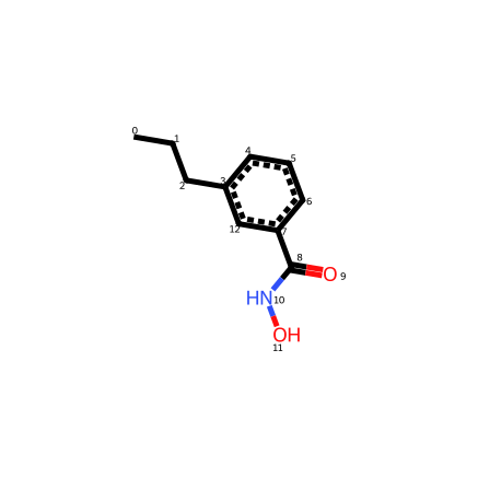 CCCc1cccc(C(=O)NO)c1